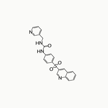 O=C(NCc1cccnc1)Nc1ccc(S(=O)(=O)c2cnc3ccccc3c2)cc1